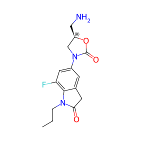 CCCN1C(=O)Cc2cc(N3C[C@@H](CN)OC3=O)cc(F)c21